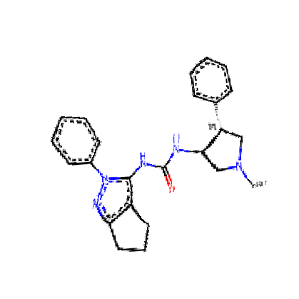 CCCCN1CC(NC(=O)Nc2c3c(nn2-c2ccccc2)CCC3)[C@H](c2ccccc2)C1